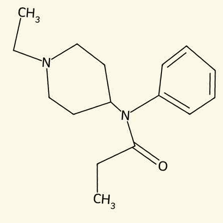 CCC(=O)N(c1ccccc1)C1CCN(CC)CC1